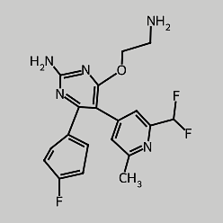 Cc1cc(-c2c(OCCN)nc(N)nc2-c2ccc(F)cc2)cc(C(F)F)n1